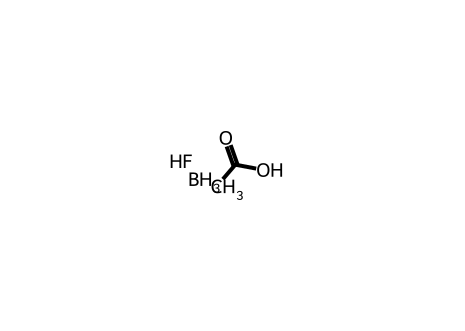 B.CC(=O)O.F